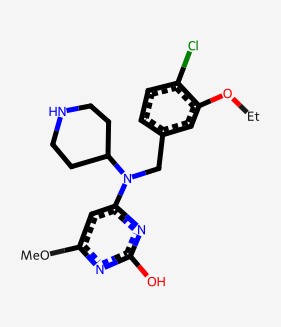 CCOc1cc(CN(c2cc(OC)nc(O)n2)C2CCNCC2)ccc1Cl